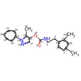 Cc1ccc(CCNC(=O)Oc2cnn(-c3ccccc3)c2C)c(C)c1